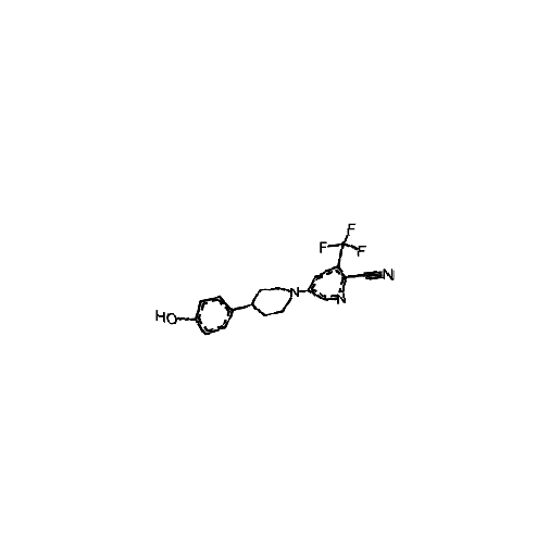 N#Cc1ncc(N2CCC(c3ccc(O)cc3)CC2)cc1C(F)(F)F